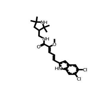 COC(=CC=Cc1cc2cc(Cl)c(Cl)cc2[nH]1)C(=O)NCC1CC(C)(C)NC1(C)C